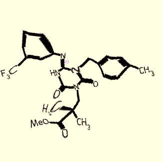 COC(=O)C(C)(C)Cn1c(=O)[nH]/c(=N\c2cccc(C(F)(F)F)c2)n(Cc2ccc(C)cc2)c1=O